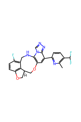 Cc1nc(-c2cc3c(n4cnnc24)NCc2c(F)ccc4c2[C@H](CO4)CO3)ccc1C(F)F